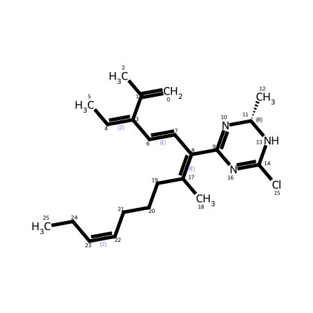 C=C(C)C(=C\C)/C=C/C(C1=N[C@H](C)NC(Cl)=N1)=C(/C)CCC/C=C\CC